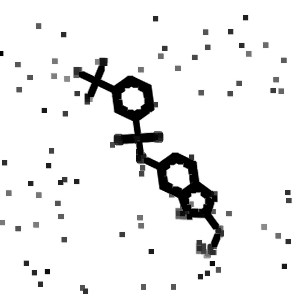 CSc1nc2ccc(OS(=O)(=O)c3cccc(C(F)(F)F)c3)cc2[nH]1